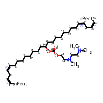 CCCCC/C=C\C/C=C\CCCCCCCCC(CCCCCCCC/C=C\C/C=C\CCCCC)OC(=O)OCCN(C)CCN(C)C